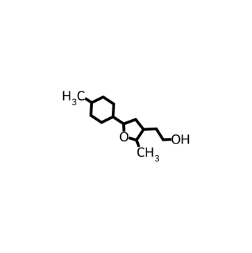 CC1CCC(C2CC(CCO)C(C)O2)CC1